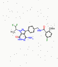 COc1ccc(F)cc1C(=O)NCc1ccc(-c2nn(C(C)C(F)F)c3c(=O)[nH]nc(N)c23)cc1